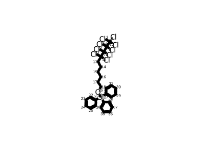 ClC(Cl)(Cl)C(Cl)(Cl)C(Cl)(Cl)C(Cl)(Cl)CCCCCCO[Si](c1ccccc1)(c1ccccc1)c1ccccc1